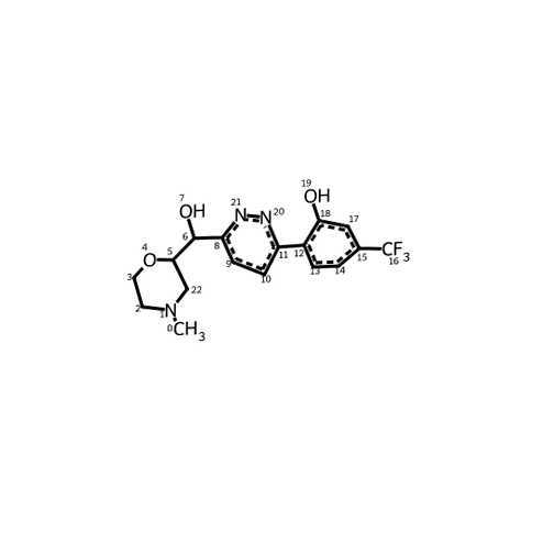 CN1CCOC(C(O)c2ccc(-c3ccc(C(F)(F)F)cc3O)nn2)C1